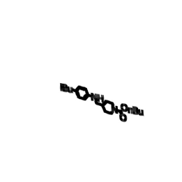 CCCCOC(=O)N1CCC(CNc2ccc(C(C)CC)cc2)CC1